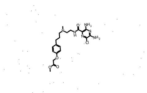 COC(=O)COc1ccc(CCCN(C)CCNC(=O)c2nc(Cl)c(N)nc2N)cc1